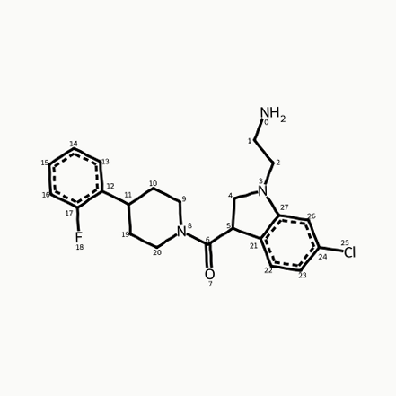 NCCN1CC(C(=O)N2CCC(c3ccccc3F)CC2)c2ccc(Cl)cc21